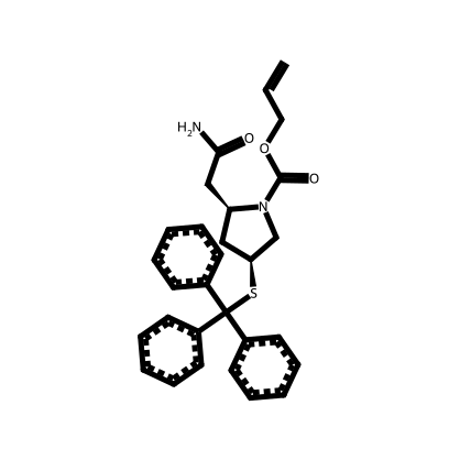 C=CCOC(=O)N1C[C@@H](SC(c2ccccc2)(c2ccccc2)c2ccccc2)C[C@H]1CC(N)=O